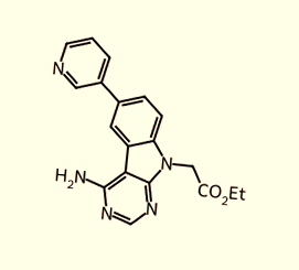 CCOC(=O)Cn1c2ccc(-c3cccnc3)cc2c2c(N)ncnc21